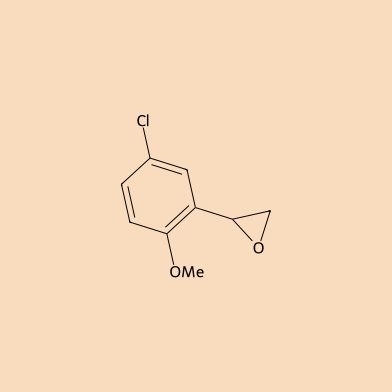 COc1ccc(Cl)cc1C1CO1